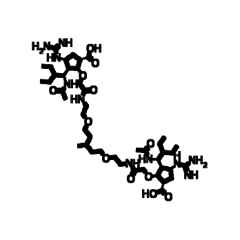 CCC(CC)[C@@H](NC(C)=O)[C@@H]1[C@H](OCC(=O)NCCOCCC(C)CCOCCNC(=O)CO[C@H]2[C@@H]([C@H](NC(C)=O)C(CC)CC)[C@H](NC(=N)N)C[C@@H]2C(=O)O)[C@@H](C(=O)O)C[C@H]1NC(=N)N